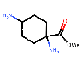 COC(=O)C1(N)CCC(N)CC1